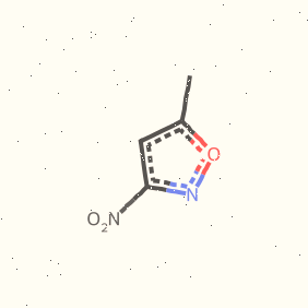 Cc1cc([N+](=O)[O-])no1